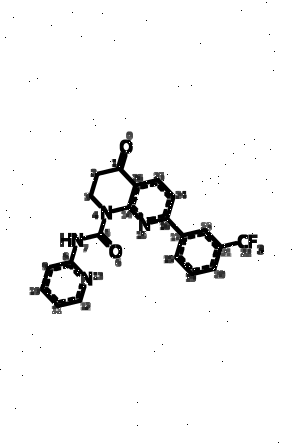 O=C1CCN(C(=O)Nc2ccccn2)c2nc(-c3cccc(C(F)(F)F)c3)ccc21